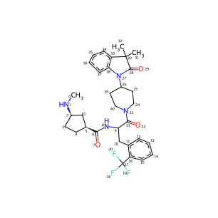 CN[C@@H]1CC[C@H](C(=O)NC(Cc2ccccc2C(F)(F)F)C(=O)N2CCC(N3C(=O)C(C)(C)c4ccccc43)CC2)C1